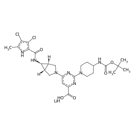 Cc1[nH]c(C(=O)N[C@H]2[C@@H]3CN(c4cc(C(=O)O)nc(N5CCC(NC(=O)OC(C)(C)C)CC5)n4)C[C@@H]32)c(Cl)c1Cl.[LiH]